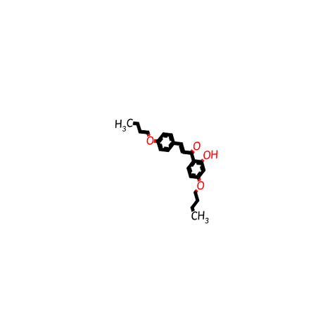 CCCCOc1ccc(/C=C/C(=O)c2ccc(OCCCC)cc2O)cc1